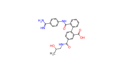 CC(O)CNC(=O)c1ccc(-c2ccccc2C(=O)Nc2ccc(C(=N)N)cc2)c(C(=O)O)c1